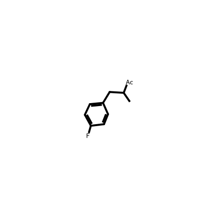 CC(=O)C(C)Cc1ccc(F)cc1